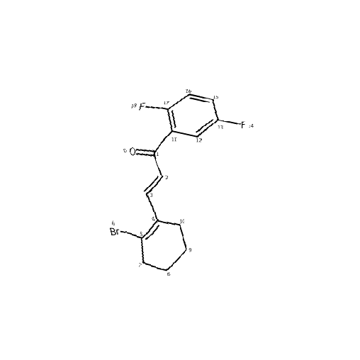 O=C(/C=C/C1=C(Br)CCCC1)c1cc(F)ccc1F